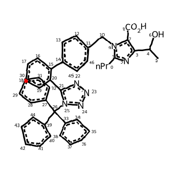 CCCc1nc(C(C)O)c(C(=O)O)n1Cc1ccc(-c2ccccc2-c2nnnn2C(c2ccccc2)(c2ccccc2)c2ccccc2)cc1